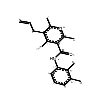 C=CCc1c(C)nc(C)c(C(=O)Nc2cccc(C)c2C)c1F